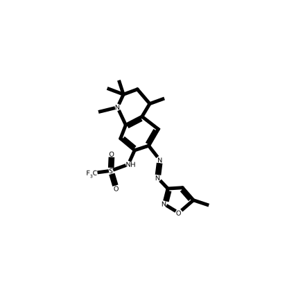 Cc1cc(N=Nc2cc3c(cc2NS(=O)(=O)C(F)(F)F)N(C)C(C)(C)CC3C)no1